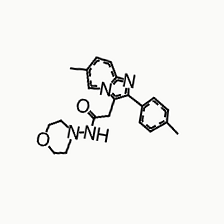 Cc1ccc(-c2nc3ccc(C)cn3c2CC(=O)NN2CCOCC2)cc1